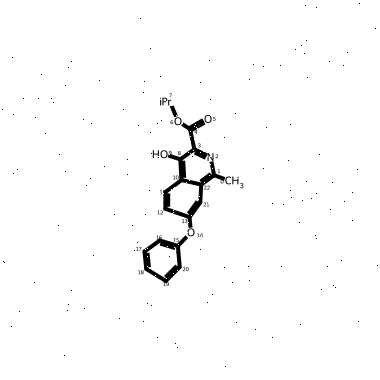 Cc1nc(C(=O)OC(C)C)c(O)c2ccc(Oc3ccccc3)cc12